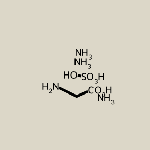 N.N.N.NCC(=O)O.O=S(=O)(O)O